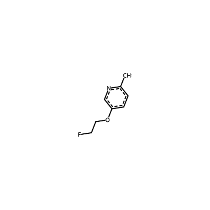 [CH]c1ccc(OCCF)cn1